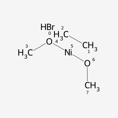 Br.CC.C[O][Ni][O]C